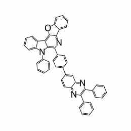 c1ccc(-c2nc3ccc(-c4ccc(-c5nc6c7ccccc7oc6c6c7ccccc7n(-c7ccccc7)c56)cc4)cc3nc2-c2ccccc2)cc1